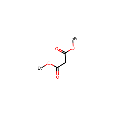 CCCOC(=O)CC(=O)OCC